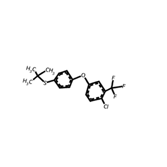 CC(C)(C)Sc1ccc(Oc2ccc(Cl)c(C(F)(F)F)c2)cc1